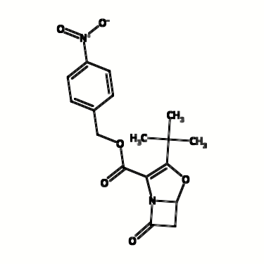 CC(C)(C)C1=C(C(=O)OCc2ccc([N+](=O)[O-])cc2)N2C(=O)CC2O1